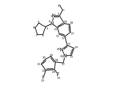 CCc1nn(C2CCCC2)c2cc(-c3ccn(Cc4cccc(F)c4F)n3)ccc12